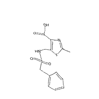 Cc1nc(C(=O)O)c(NS(=O)(=O)Cc2ccccc2)s1